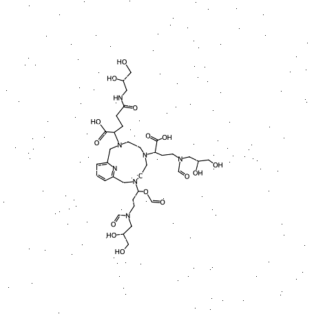 O=COC(CCN(C=O)CC(O)CO)N1CCN(C(CCN(C=O)CC(O)CO)C(=O)O)CCN(C(CCC(=O)NCC(O)CO)C(=O)O)Cc2cccc(n2)C1